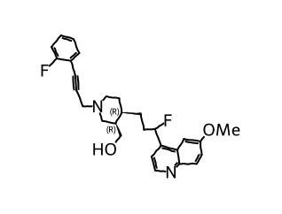 COc1ccc2nccc(C(F)CC[C@@H]3CCN(CC#Cc4ccccc4F)C[C@@H]3CO)c2c1